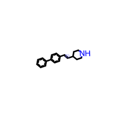 C(=C\C1CCNCC1)/c1ccc(-c2ccccc2)cc1